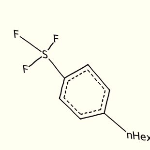 CCCCCCc1ccc(S(F)(F)F)cc1